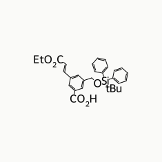 CCOC(=O)/C=C/c1cc(CO[Si](c2ccccc2)(c2ccccc2)C(C)(C)C)cc(C(=O)O)c1